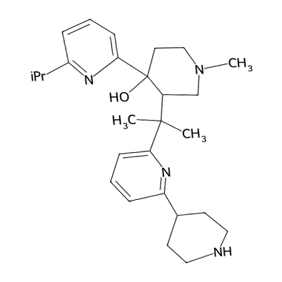 CC(C)c1cccc(C2(O)CCN(C)CC2C(C)(C)c2cccc(C3CCNCC3)n2)n1